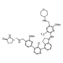 COc1nc(-c2ccnc(-c3cccc4c3CC[C@H]4Nc3nc(OC)c(CNC4CCOCC4)cc3C(F)(F)F)c2Cl)ccc1CNC[C@@H]1CCC(=O)N1